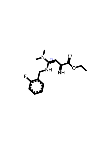 CCOC(=O)C(=N)/C=C(\NCc1ccccc1F)N(C)C